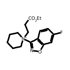 CCOC(=O)CC[N+]1(c2noc3cc(F)ccc23)CCCCC1